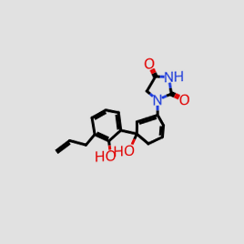 C=CCc1cccc(C2(O)C=C(N3CC(=O)NC3=O)C=CC2)c1O